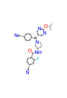 CC(C)Oc1ncc([C@@H](c2ccc(C#N)cc2)N2CCC(NC(=O)c3ccc(C#N)cc3F)C2)cn1